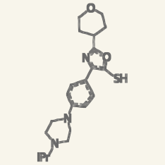 CC(C)N1CCN(c2ccc(-c3nc(C4CCOCC4)oc3S)cc2)CC1